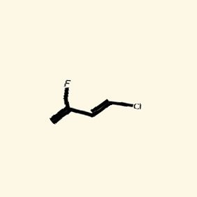 C=C(F)C=CCl